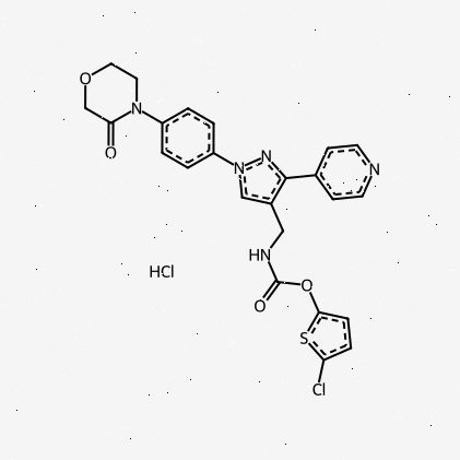 Cl.O=C(NCc1cn(-c2ccc(N3CCOCC3=O)cc2)nc1-c1ccncc1)Oc1ccc(Cl)s1